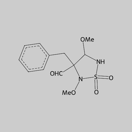 COC1NS(=O)(=O)N(OC)C1(C=O)Cc1ccccc1